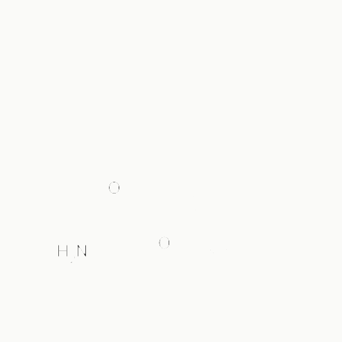 Cc1ccc2c(c1)[C@](C)(OC(N)=O)[C@@H](C)C2